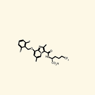 Cc1cc(OCc2c(F)cccc2F)c2nc(C)c(C(=O)N[C@@H](CCCC(F)(F)F)C(=O)O)n2c1